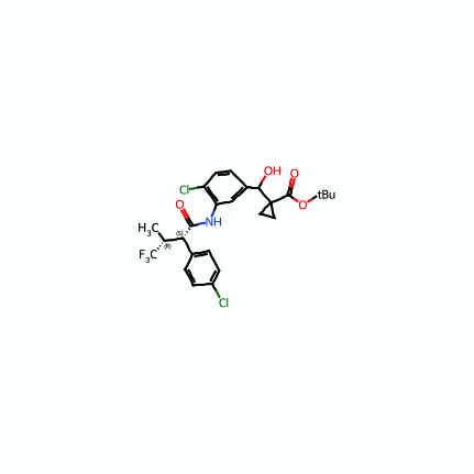 C[C@H]([C@H](C(=O)Nc1cc(C(O)C2(C(=O)OC(C)(C)C)CC2)ccc1Cl)c1ccc(Cl)cc1)C(F)(F)F